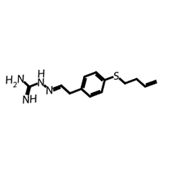 C=CCCSc1ccc(CC=NNC(=N)N)cc1